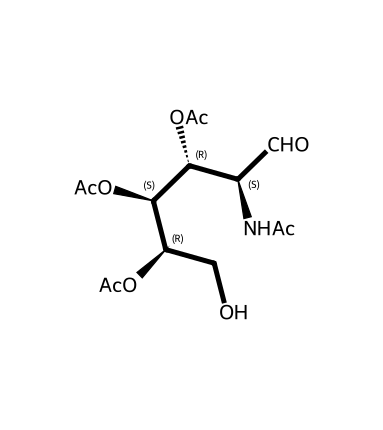 CC(=O)N[C@H](C=O)[C@@H](OC(C)=O)[C@H](OC(C)=O)[C@@H](CO)OC(C)=O